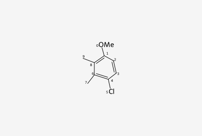 COc1ccc(Cl)c(C)c1C